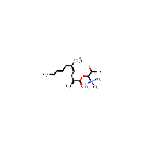 C=CC=CCC(=CCC(=C)C(=O)OC(C(C)O)[N+](C)(C)C)C(=O)OCC.[Cl-]